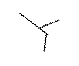 CCCCCCCCCCCCCCCCCCCC(CC[CH]CCCC(C)CCCCCCCCCCCCCC)CCCCCCCCCCCCCCCC